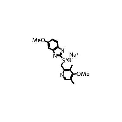 COc1ccc2nc([S@@+]([O-])Cc3ncc(C)c(OC)c3C)[n-]c2c1.[Na+]